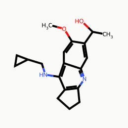 COc1cc2c(NCC3CC3)c3c(nc2cc1C(C)O)CCC3